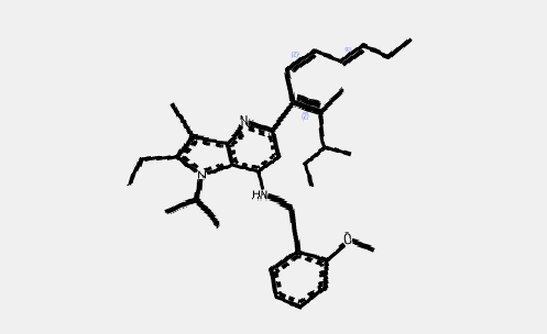 CC/C=C/C=C\C(=C(/C)C(C)CC)c1cc(NCc2ccccc2OC)c2c(n1)c(C)c(CC)n2C(C)C